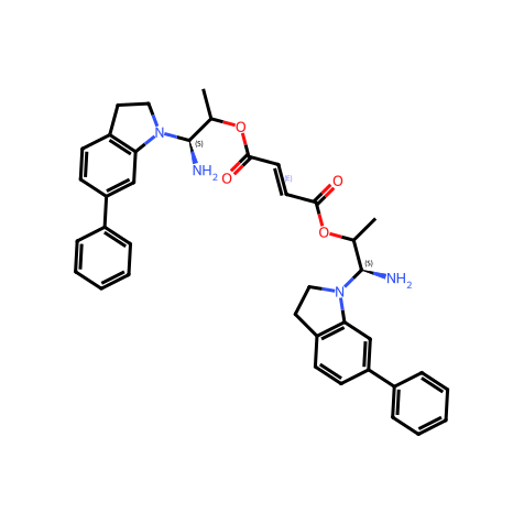 CC(OC(=O)/C=C/C(=O)OC(C)[C@@H](N)N1CCc2ccc(-c3ccccc3)cc21)[C@@H](N)N1CCc2ccc(-c3ccccc3)cc21